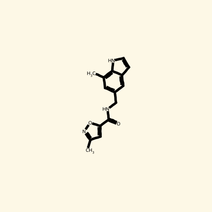 Cc1cc(C(=O)NCc2cc(C)c3[nH]ccc3c2)on1